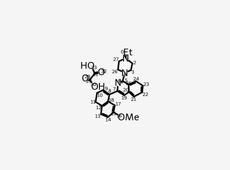 CCN1CCN(c2nc(C3=CCCc4ccc(OC)cc43)cc3ccccc23)CC1.O=C(O)C(=O)O